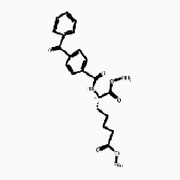 CC(C)(C)OC(=O)CCCC[C@H](NC(=O)c1ccc(C(=O)c2ccccc2)cc1)C(=O)ON